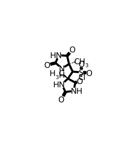 C[C@]1(C([C@@]2(C)NC(=O)NC2=O)S(=O)(=O)Cl)NC(=O)NC1=O